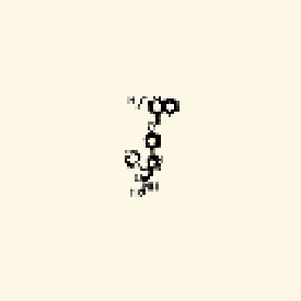 Cc1cc(COc2ccc(C3=NOC(CC(=O)NO)(CN4CCOCC4)C3)cc2)c2ccccc2n1